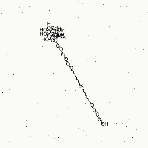 CC(=O)NC1C(OCCOCCOCCOCCOCCOCCOCCCCCCCCCCSSCCCCCCCCCCCOCCOCCOCCOCCO)OC(CO)C(OC2CC(CO)C(O)C(O)C2O)C1OC1OC(C)C(O)C(O)C1O